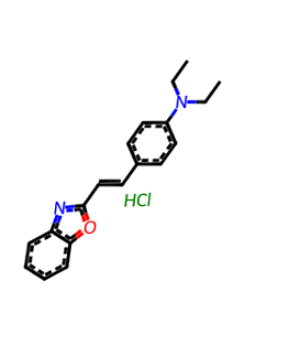 CCN(CC)c1ccc(C=Cc2nc3ccccc3o2)cc1.Cl